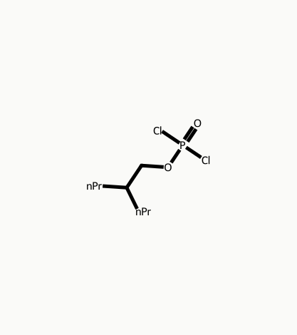 CCCC(CCC)COP(=O)(Cl)Cl